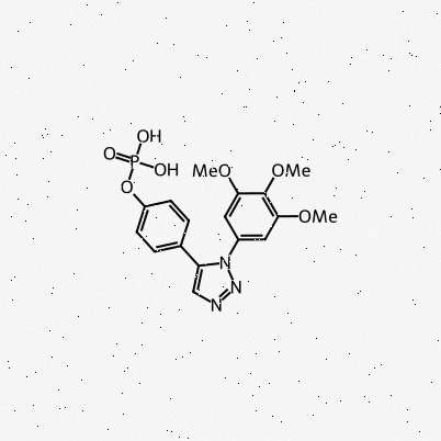 COc1cc(-n2nncc2-c2ccc(OP(=O)(O)O)cc2)cc(OC)c1OC